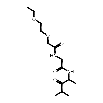 CCOCCOCC(=O)NCC(=O)NC(C)C(=O)C(C)C